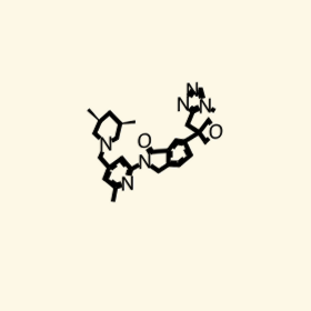 Cc1cc(CN2C[C@H](C)C[C@H](C)C2)cc(N2Cc3ccc(C4(Cc5nncn5C)COC4)cc3C2=O)n1